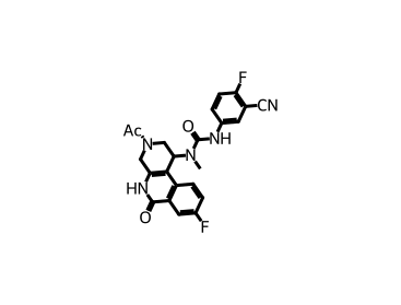 CC(=O)N1Cc2[nH]c(=O)c3cc(F)ccc3c2C(N(C)C(=O)Nc2ccc(F)c(C#N)c2)C1